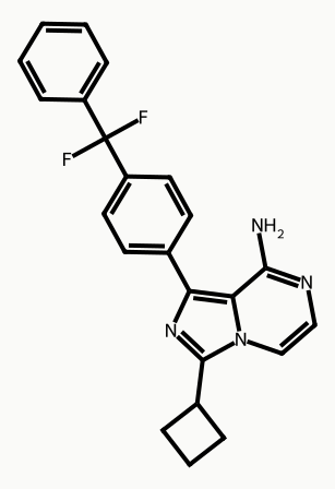 Nc1nccn2c(C3CCC3)nc(-c3ccc(C(F)(F)c4ccccc4)cc3)c12